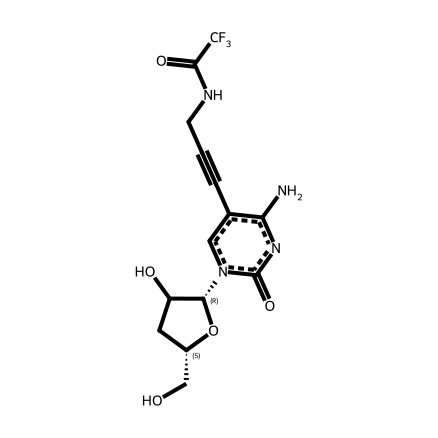 Nc1nc(=O)n([C@@H]2O[C@H](CO)CC2O)cc1C#CCNC(=O)C(F)(F)F